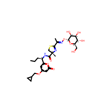 CCC[C@@H](NC(=O)[C@]1(C)CSC(/C(C)=N/O[C@H]2O[C@H](CO)[C@@H](O)[C@H](O)[C@@H]2O)=N1)c1cc(OCC2CC2)cc(=O)o1